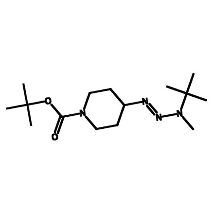 CN(N=NC1CCN(C(=O)OC(C)(C)C)CC1)C(C)(C)C